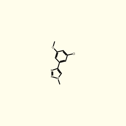 COc1cc(Cl)cc(-c2cn(C)nn2)c1